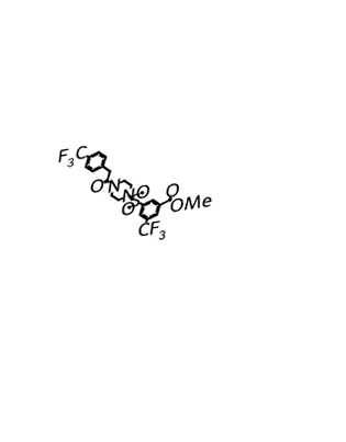 COC(=O)c1cc(C(F)(F)F)cc(S(=O)(=O)N2CCN(C(=O)Cc3ccc(C(F)(F)F)cc3)CC2)c1